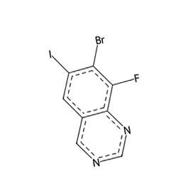 Fc1c(Br)c(I)cc2cncnc12